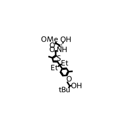 CCC(CC)(c1ccc(OCC(O)C(C)(C)C)c(C)c1)c1cc(C)c(C(=O)N[C@@H](CO)C(=O)OC)s1